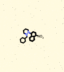 O=[N+]([O-])c1ccc(N2CCCCN2CC2CCCCC2)c2ccccc12